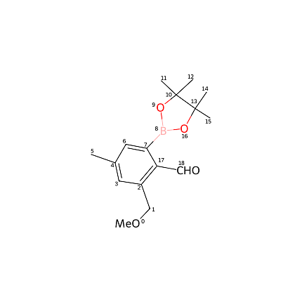 COCc1cc(C)cc(B2OC(C)(C)C(C)(C)O2)c1C=O